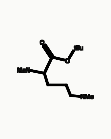 CNCCCC(NC)C(=O)OC(C)(C)C